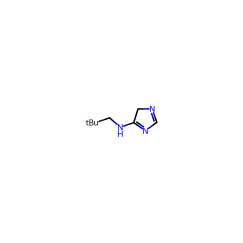 CC(C)(C)CNC1=NC=NC1